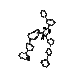 c1ccc(-c2ccc(-c3cccc(-c4nc(-c5cccc(-c6ccccc6)c5)nc(-c5cccc(-c6ccc(-c7ccccc7)cc6)c5)n4)c3)cc2)cc1